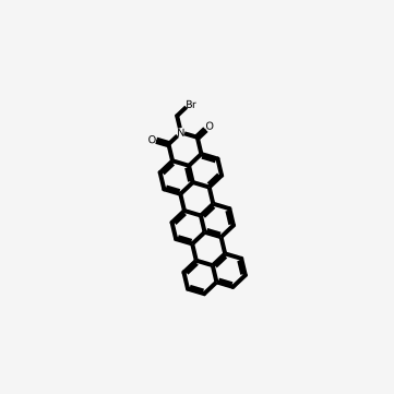 O=C1c2ccc3c4ccc5c6cccc7cccc(c8ccc(c9ccc(c2c39)C(=O)N1CBr)c4c58)c76